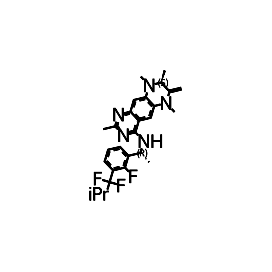 C=C1[C@H](C)N(C)c2cc3nc(C)nc(N[C@H](C)c4cccc(C(F)(F)C(C)C)c4F)c3cc2N1C